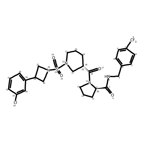 O=C(NCc1ccc(C(F)(F)F)cc1)[C@H]1CCCN1C(=O)[C@H]1CCCN(S(=O)(=O)N2CC(c3cccc(Cl)c3)C2)C1